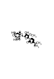 CO[C@H]1C(O)[C@@H](COP2(=O)CP(=O)(O)OP(=O)(O)O2)O[C@H]1n1ccc(N(C)C)nc1=O